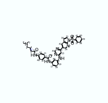 CN(C)C/C=C/C(=O)Nc1ccc(C(=O)Nc2cccc(Nc3cc(-c4cnc5c(ccn5S(=O)(=O)c5ccccc5)c4)ncn3)c2)cc1